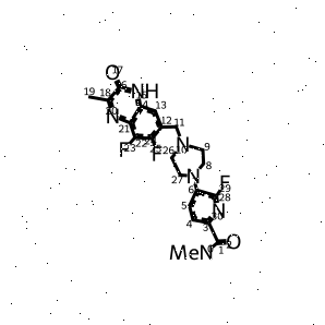 CNC(=O)c1ccc(N2CCN(Cc3cc4[nH]c(=O)c(C)nc4c(F)c3F)CC2)c(F)n1